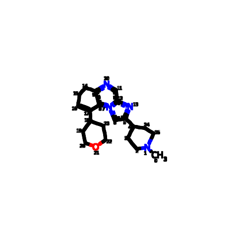 CN1CCC(c2cn3c4c(ncc3n2)CCC=C4C2CCOCC2)CC1